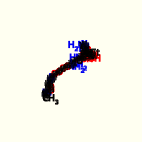 CCC(CC)(C[C@@H]1O[C@H](n2cnc3c(N)ncnc32)[C@H](OP(=O)(O)C(CC)(CC)CC(CO)NC(=O)CCCN(N)/C=C(\N)COCCOCCOCCOCCN2CCN(c3ccc4cc(-c5cn6ccc(C)cc6n5)c(=O)oc4c3)CC2)C1O)OP(=O)(O)O